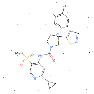 CNS(=O)(=O)c1cnc(C2CC2)cc1NC(=O)N1CC[C@@](c2ccc(C)c(F)c2)(c2ncns2)C1